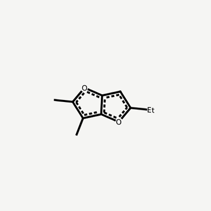 CCc1cc2oc(C)c(C)c2o1